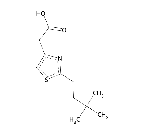 CC(C)(C)CCc1nc(CC(=O)O)cs1